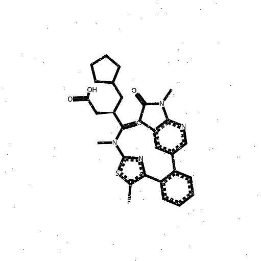 CN(C(=O)[C@@H](CC(=O)O)CC1CCCC1)c1nc(-c2ccccc2-c2cnc3c(c2)CC(=O)N3C)c(F)s1